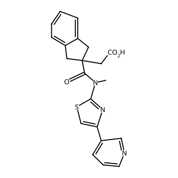 CN(C(=O)C1(CC(=O)O)Cc2ccccc2C1)c1nc(-c2cccnc2)cs1